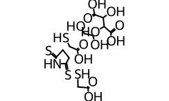 O=C(O)C(O)C(O)C(=O)O.O=C(O)CS.O=C(O)CS.OCCO.S=C1CCC(=S)N1